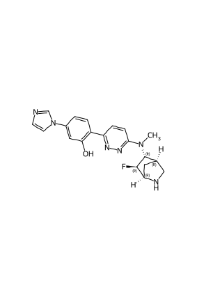 CN(c1ccc(-c2ccc(-n3ccnc3)cc2O)nn1)[C@@H]1[C@H]2CN[C@H](C2)[C@H]1F